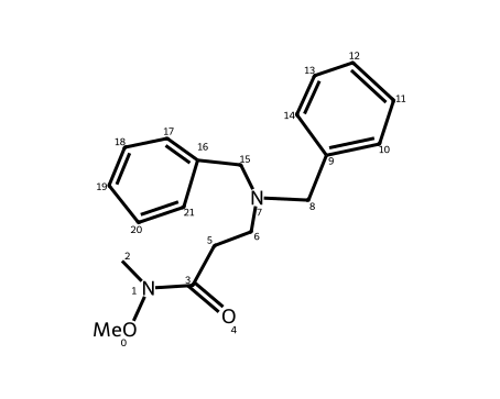 CON(C)C(=O)CCN(Cc1ccccc1)Cc1ccccc1